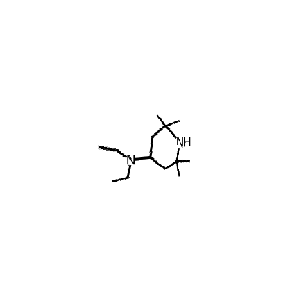 CCN(CC)C1CC(C)(C)NC(C)(C)C1